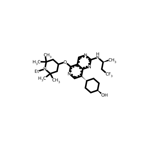 CCN1C(C)(C)CC(Oc2ncc([C@H]3CC[C@H](O)CC3)c3nc(N[C@@H](C)CC(F)(F)F)ncc23)CC1(C)C